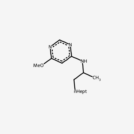 CCCCCCCCC(C)Nc1cc(OC)ncn1